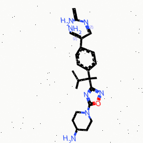 C=C(N)/N=C\C(=C/N)c1ccc(C(C)(c2noc(N3CCC(N)CC3)n2)C(C)C)cc1